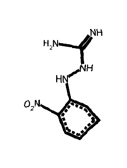 N=C(N)NNc1ccccc1[N+](=O)[O-]